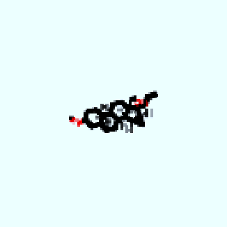 C=CC[C@]1(O)[C@H]2C[C@H]2[C@H]2[C@@H]3CC=C4C=C(OC)CC[C@@H]4[C@H]3CC[C@@]21CC